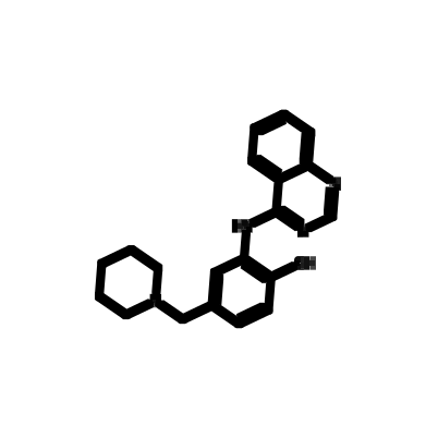 Oc1ccc(CN2CCCCC2)cc1Nc1ncnc2ccccc12